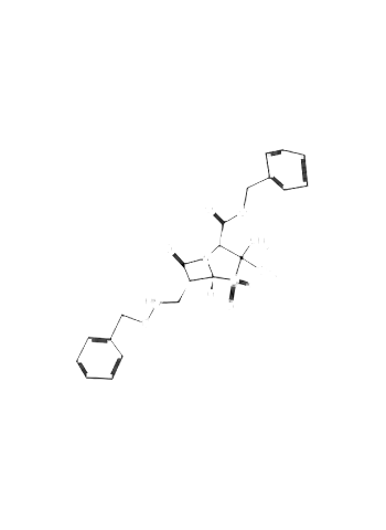 CC1(C)[C@H](C(=O)OCc2ccccc2)N2C(=O)[C@H](CNOCc3ccccc3)[C@H]2S1(=O)=O